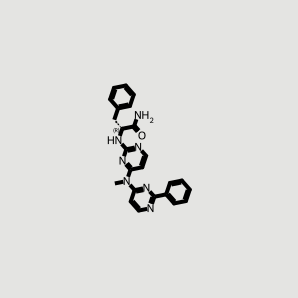 CN(c1ccnc(N[C@H](Cc2ccccc2)C(N)=O)n1)c1ccnc(-c2ccccc2)n1